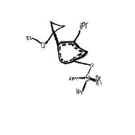 CCOC1(c2ccc(O[Si](C(C)C)(C(C)C)C(C)C)cc2C(C)C)CC1